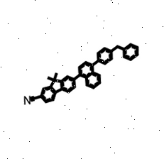 CC1(C)c2cc(C#N)ccc2-c2ccc(-c3ccc(-c4ccc(Cc5ccccc5)cc4)c4ccccc34)cc21